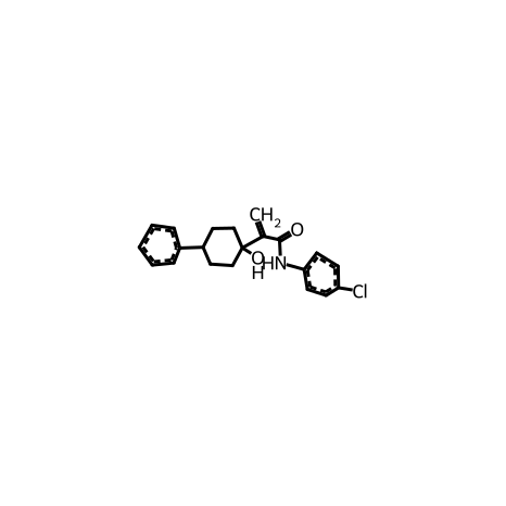 C=C(C(=O)Nc1ccc(Cl)cc1)C1(O)CCC(c2ccccc2)CC1